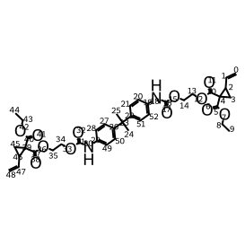 C=CC1CC1(C(=O)OCC)C(=O)OCCOC(=O)Nc1ccc(C(C)(C)c2ccc(NC(=O)OCCOC(=O)C3(C(=O)OCC)CC3C=C)cc2)cc1